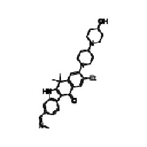 CCc1cc2c(cc1N1CCC(N3CCC(O)CC3)CC1)C(C)(C)c1[nH]c3cc(/C=N\C)ccc3c1C2=O